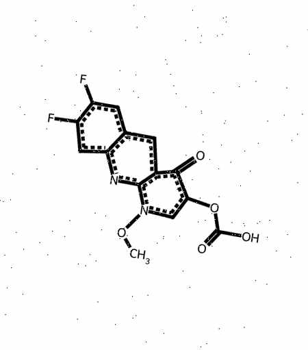 COn1cc(OC(=O)O)c(=O)c2cc3cc(F)c(F)cc3nc21